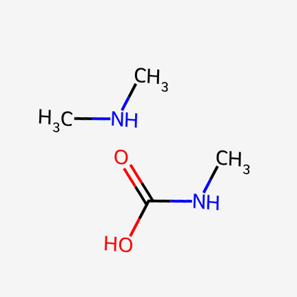 CNC.CNC(=O)O